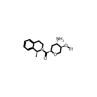 CCO[C@H]1CO[C@@H](C(=O)N2CCc3ccccc3[C@@H]2C)C[C@@H]1N